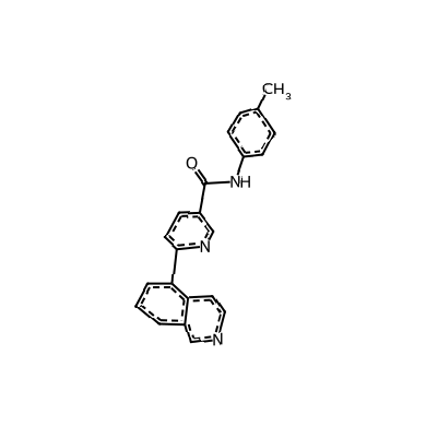 Cc1ccc(NC(=O)c2ccc(-c3cccc4cnccc34)nc2)cc1